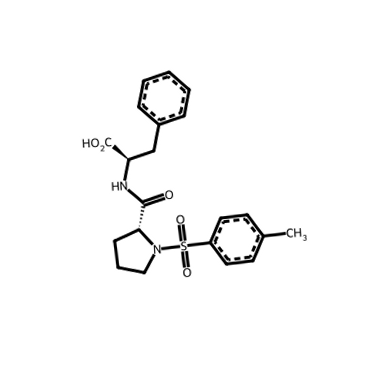 Cc1ccc(S(=O)(=O)N2CCC[C@@H]2C(=O)N[C@H](Cc2ccccc2)C(=O)O)cc1